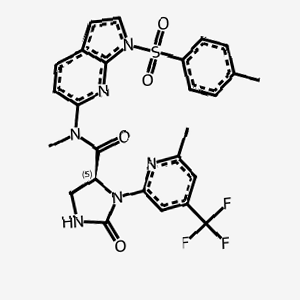 Cc1ccc(S(=O)(=O)n2ccc3ccc(N(C)C(=O)[C@@H]4CNC(=O)N4c4cc(C(F)(F)F)cc(C)n4)nc32)cc1